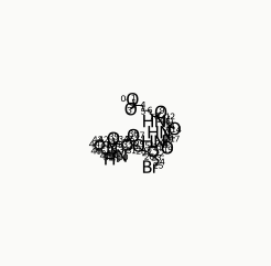 COC(=O)CCCCC(=O)N[C@@H](C)C(=O)N[C@@H](C)C(=O)Nc1cc(CBr)cc(COc2cc3c(cc2OC)C(=O)N2c4ccccc4C[C@H]2C=N3)c1